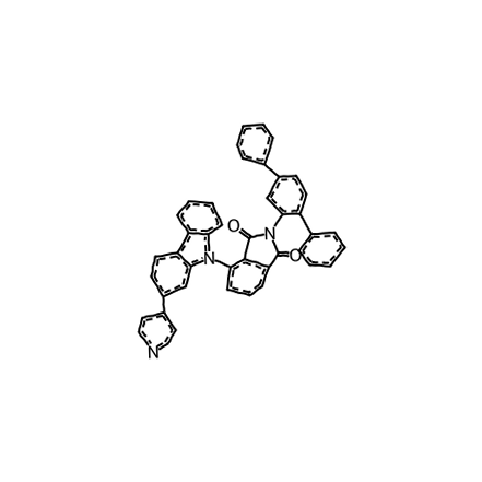 O=C1c2cccc(-n3c4ccccc4c4ccc(-c5ccncc5)cc43)c2C(=O)N1c1cc(-c2ccccc2)ccc1-c1ccccc1